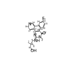 Cn1c(NCC(C)(C)CO)nc(-c2ccncc2)c(-c2ccc(F)cc2)c1=O